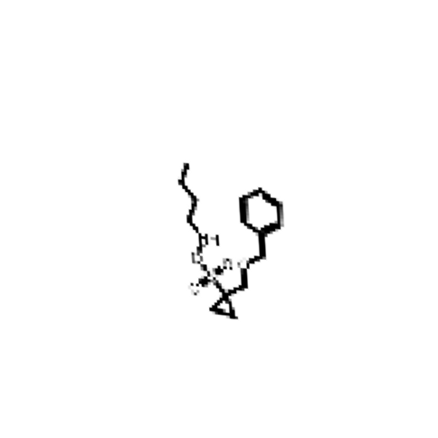 CCCCNOS(=O)(=O)C1(COCc2ccccc2)CC1